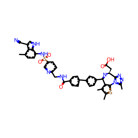 Cc1sc2c(c1C)C(c1ccc(-c3ccc(C(=O)NCc4ccc(S(=O)(=O)Nc5ccc(C)c6c(C#N)c[nH]c56)cn4)cc3)cc1)=N[C@@H](CC(=O)O)c1nnc(C)n1-2